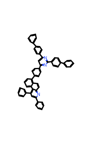 c1ccc(-c2ccc(-c3cc(-c4ccc(-c5cccc6c5ccc5nc(-c7ccccc7)cc(-c7ccccc7)c56)cc4)nc(-c4ccc(-c5ccccc5)cc4)n3)cc2)cc1